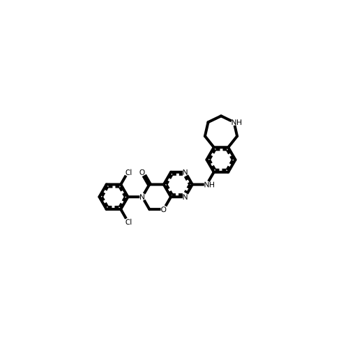 O=C1c2cnc(Nc3ccc4c(c3)CCCNC4)nc2OCN1c1c(Cl)cccc1Cl